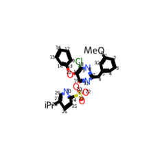 COc1cccc(Cc2nc(Cl)c(Oc3ccccc3)c(OS(=O)(=O)c3ccc(C(C)C)cn3)n2)c1